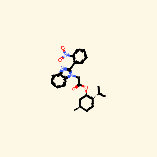 CC(C)[C@@H]1CC[C@@H](C)C[C@H]1OC(=O)Cn1c(-c2ccccc2[N+](=O)[O-])nc2ccccc21